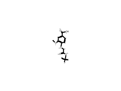 COc1cc(C(=O)O)ccc1OCC(=O)OC(C)(C)C